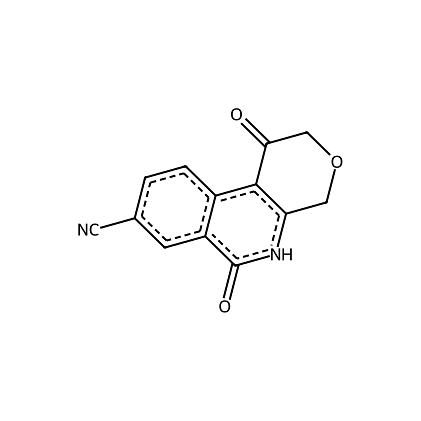 N#Cc1ccc2c3c([nH]c(=O)c2c1)COCC3=O